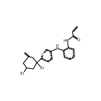 C=CC(=O)Nc1ccccc1Nc1ccc(C2(CC)CC(=C)CC(CC)C2)cc1